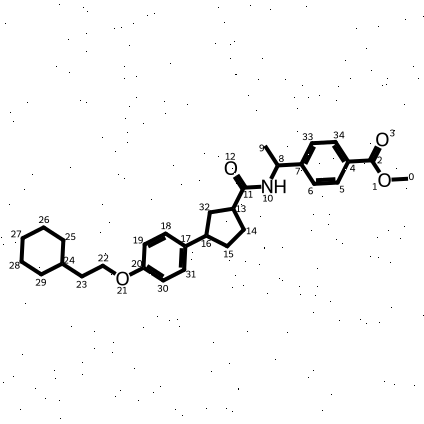 COC(=O)c1ccc(C(C)NC(=O)C2CCC(c3ccc(OCCC4CCCCC4)cc3)C2)cc1